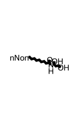 CCCCCCCCCCCCCCCCCC(=O)NC(O)CCO